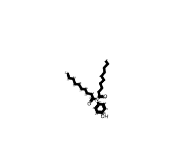 CCCCCCCCCC(=O)N(C(=O)CCCCCCCCC)c1ccc(O)cc1